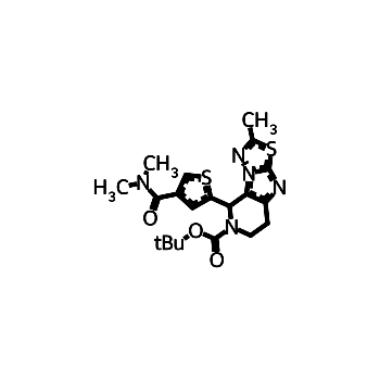 Cc1nn2c3c(nc2s1)CCN(C(=O)OC(C)(C)C)C3c1cc(C(=O)N(C)C)cs1